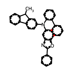 CC1c2ccccc2-c2ccc(N(c3ccc4oc(-c5ccccc5)nc4c3)c3ccccc3-c3ccccc3)cc21